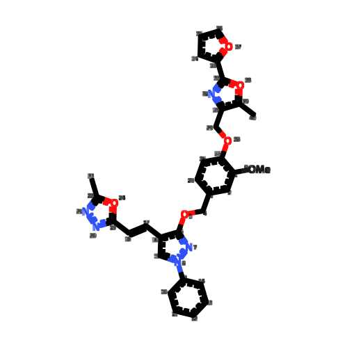 COc1cc(COc2nn(-c3ccccc3)cc2/C=C/c2nnc(C)o2)ccc1OCc1nc(-c2ccco2)oc1C